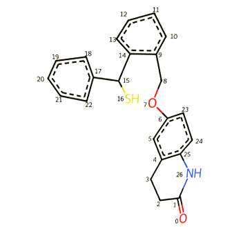 O=C1CCc2cc(OCc3ccccc3C(S)c3ccccc3)ccc2N1